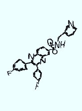 O=S(=O)(NCc1cccnc1)c1ccc2nc(-c3ccc(F)cc3)c(-c3ccc(F)cc3)nc2c1